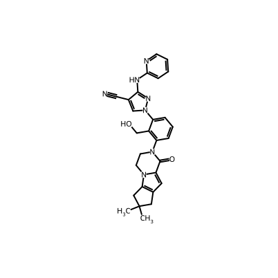 CC1(C)Cc2cc3n(c2C1)CCN(c1cccc(-n2cc(C#N)c(Nc4ccccn4)n2)c1CO)C3=O